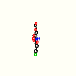 COC(=O)[C@H](Cc1ccc(OCc2ccoc2)cc1)NC(=O)c1cc2cc(-c3ccc(Cl)cc3)ccc2o1